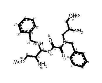 COCC(N)CN(Cc1ccccc1)C(=O)C(=O)OC(NCc1ccccc1)C(N)COC